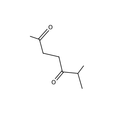 CC(=O)CCC(=O)C(C)C